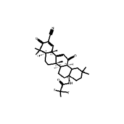 CC1(C)CC[C@]2(NC(=O)C(C)(F)F)CC[C@]3(C)[C@@H](C(=O)C=C4[C@@]5(C)C=C(C#N)C(=O)C(C)(C)[C@@H]5CC[C@]43C)C2C1